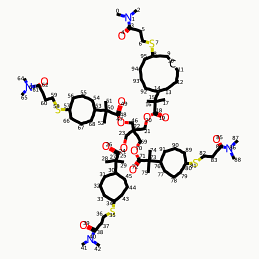 CN(C)C(=O)CCSC1CCCCCC(C(C)(C)C(=O)OCC(COC(=O)C(C)(C)C2CCCC(SCCC(=O)N(C)C)CCC2)(COC(=O)C(C)(C)C2CCCC(SCCC(=O)N(C)C)CCC2)COC(=O)C(C)(C)C2CCCC(SCCC(=O)N(C)C)CCC2)CCCC1